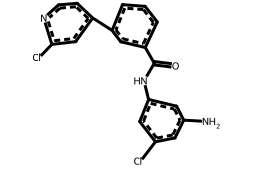 Nc1cc(Cl)cc(NC(=O)c2cccc(-c3ccnc(Cl)c3)c2)c1